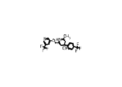 C[C@H]1C[C@@](O)(c2ccc(C(F)(F)F)cc2)C[C@@H](COc2cncc(C(F)(F)F)c2)N1